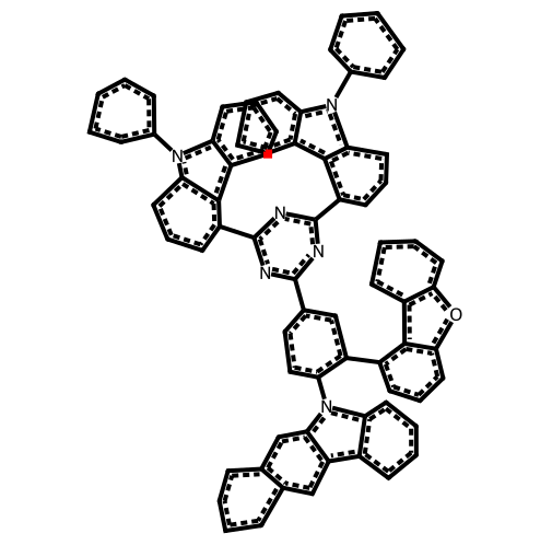 c1ccc(-n2c3ccccc3c3c(-c4nc(-c5ccc(-n6c7ccccc7c7cc8ccccc8cc76)c(-c6cccc7oc8ccccc8c67)c5)nc(-c5cccc6c5c5ccccc5n6-c5ccccc5)n4)cccc32)cc1